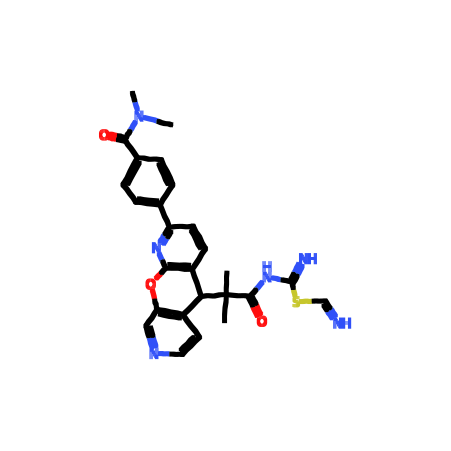 CN(C)C(=O)c1ccc(-c2ccc3c(n2)Oc2cnccc2C3C(C)(C)C(=O)NC(=N)SC=N)cc1